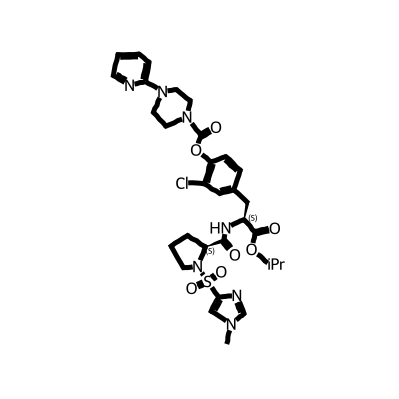 CC(C)OC(=O)[C@H](Cc1ccc(OC(=O)N2CCN(c3ccccn3)CC2)c(Cl)c1)NC(=O)[C@@H]1CCCN1S(=O)(=O)c1cn(C)cn1